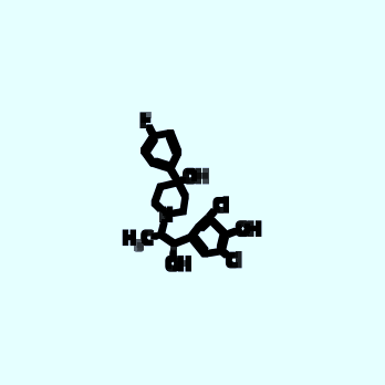 C[C@H]([C@H](O)c1cc(Cl)c(O)c(Cl)c1)N1CCC(O)(c2ccc(F)cc2)CC1